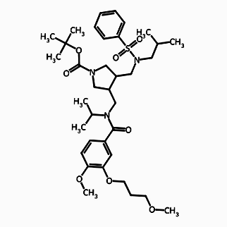 COCCCOc1cc(C(=O)N(CC2CN(C(=O)OC(C)(C)C)CC2CN(CC(C)C)S(=O)(=O)c2ccccc2)C(C)C)ccc1OC